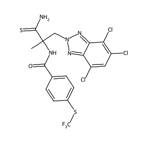 CC(Cn1nc2c(Cl)cc(Cl)c(Cl)c2n1)(NC(=O)c1ccc(SC(F)(F)F)cc1)C(N)=S